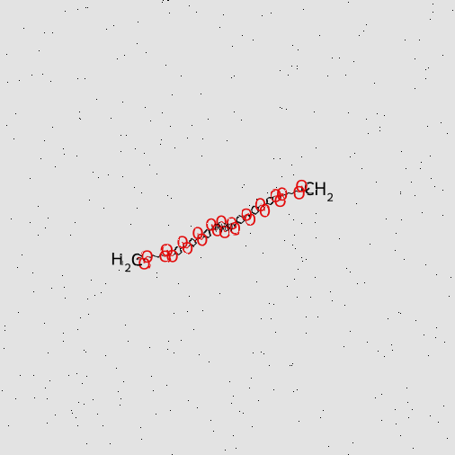 C=CC(=O)OCCCCOC(=O)Oc1ccc(C(=O)Oc2ccc(C(=O)Oc3ccc(C(=O)O[C@H]4COC5C4OC[C@H]5OC(=O)c4ccc(OC(=O)c5ccc(OC(=O)c6ccc(OC(=O)OCCCCOC(=O)C=C)cc6)cc5)cc4)cc3)cc2)cc1